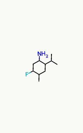 CC(C)C1CC(C)C(F)CC1N